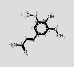 COc1cc(/C=C/C(N)=O)cc(OC)c1O